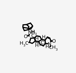 CC1C[C@H]2[C@@H]3CC[C@H]4N(C)C(=O)C=C[C@]4(C)[C@H]3CC[C@]2(C)[C@H]1C(=O)NC12CC3CC(CC(C3)C1)C2